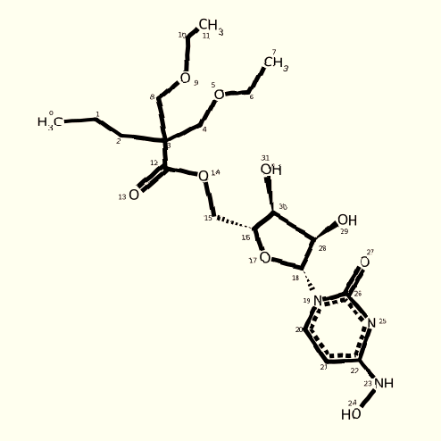 CCCC(COCC)(COCC)C(=O)OC[C@H]1O[C@@H](n2ccc(NO)nc2=O)[C@H](O)[C@@H]1O